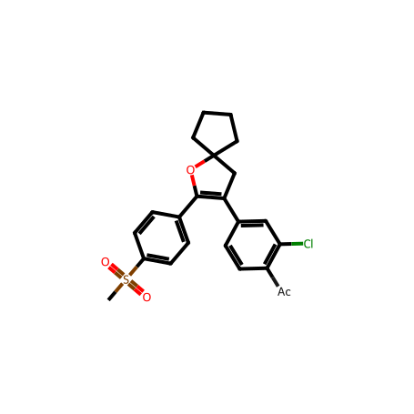 CC(=O)c1ccc(C2=C(c3ccc(S(C)(=O)=O)cc3)OC3(CCCC3)C2)cc1Cl